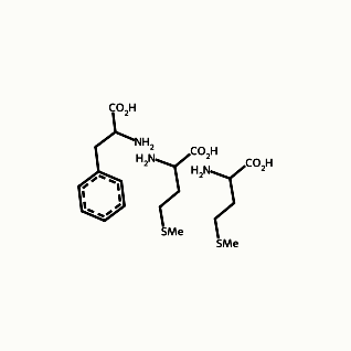 CSCCC(N)C(=O)O.CSCCC(N)C(=O)O.NC(Cc1ccccc1)C(=O)O